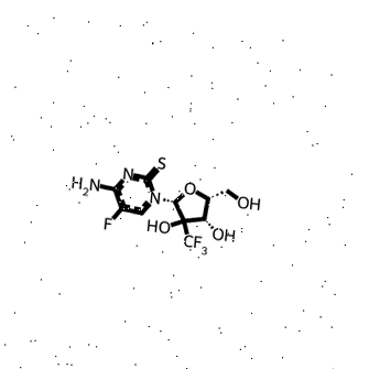 Nc1nc(=S)n([C@@H]2O[C@H](CO)[C@H](O)C2(O)C(F)(F)F)cc1F